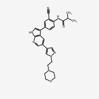 CC(C)C(=O)Nc1ccc(-c2c[nH]c3ncc(-c4cnn(CCN5CCOCC5)c4)cc23)cc1C#N